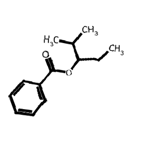 CCC(OC(=O)c1ccccc1)C(C)C